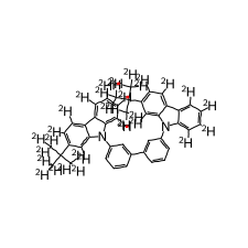 [2H]c1c([2H])c([2H])c2c(c1[2H])c1c([2H])c([2H])c(C(C([2H])([2H])[2H])(C([2H])([2H])[2H])C([2H])([2H])[2H])c([2H])c1n2-c1cccc(-c2cccc(-n3c4c([2H])c([2H])c([2H])c([2H])c4c4c([2H])c([2H])c(C(C([2H])([2H])[2H])(C([2H])([2H])[2H])C([2H])([2H])[2H])c([2H])c43)c2)c1